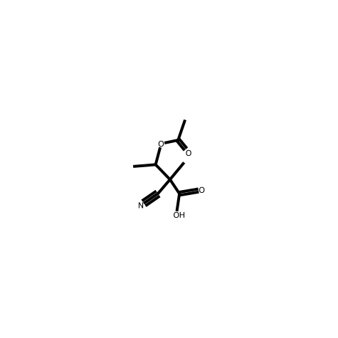 CC(=O)OC(C)C(C)(C#N)C(=O)O